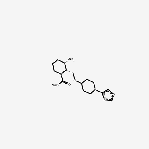 COC(=O)N1CCC[C@H](N)[C@@H]1COC1CCN(c2cscn2)CC1